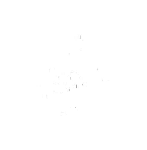 C=CC(=O)OCCC[Si](O[Si](C)(C)CCC(=O)O)(O[Si](C)(C)CCC(=O)O)O[Si](C)(C)CCC(=O)O